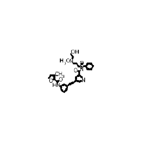 Cc1ccoc1C(=O)Nc1cccc(C#Cc2cncc(C(=O)N=S(=O)(CCCN(C)CCO)c3ccccc3)c2)c1